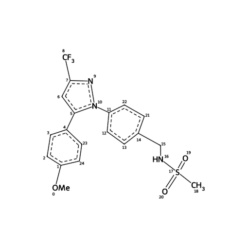 COc1ccc(-c2cc(C(F)(F)F)nn2-c2ccc(CNS(C)(=O)=O)cc2)cc1